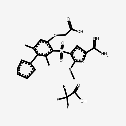 CSc1sc(C(=N)N)cc1S(=O)(=O)c1c(OCC(=O)O)cc(C)c(-c2ccccc2)c1C.O=C(O)C(F)(F)F